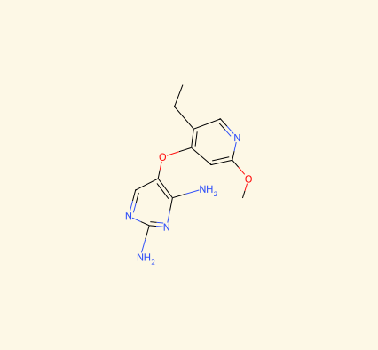 CCc1cnc(OC)cc1Oc1cnc(N)nc1N